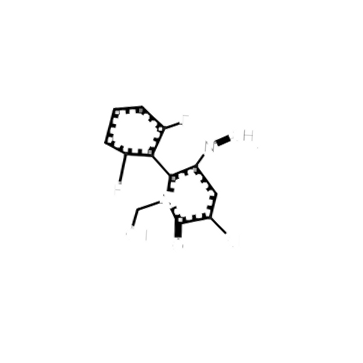 C=Nc1cc(Cl)c(=O)n(CC)c1-c1c(F)cccc1F